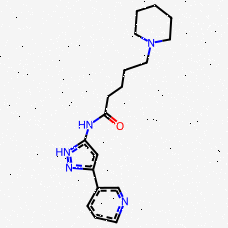 O=C(CCCCN1CCCCC1)Nc1cc(-c2cccnc2)n[nH]1